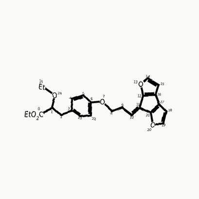 CCOC(=O)C(Cc1ccc(OCCC=C2c3occc3-c3ccoc32)cc1)OCC